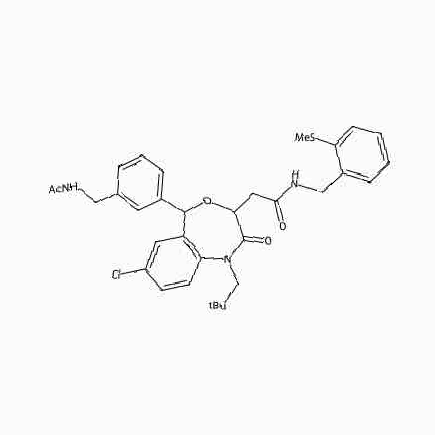 CSc1ccccc1CNC(=O)CC1OC(c2cccc(CNC(C)=O)c2)c2cc(Cl)ccc2N(CC(C)(C)C)C1=O